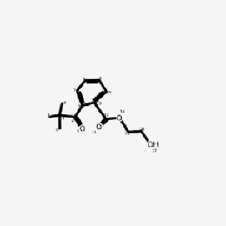 CC(C)(C)C(=O)c1ccccc1C(=O)OCCO